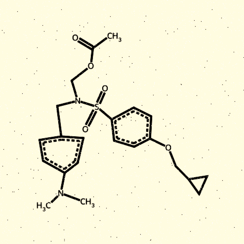 CC(=O)OCN(Cc1ccc(N(C)C)cc1)S(=O)(=O)c1ccc(OCC2CC2)cc1